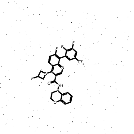 O=C(NN1CCOc2ccccc21)c1cnc2c(-c3cc(C(F)(F)F)cc(F)c3F)c(F)ccc2c1N1CC(F)C1